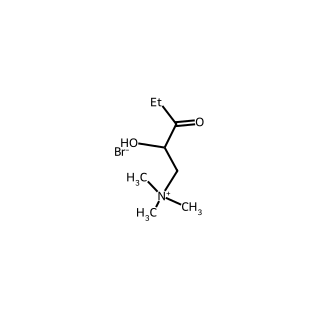 CCC(=O)C(O)C[N+](C)(C)C.[Br-]